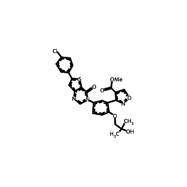 COC(=O)c1conc1-c1cc(-n2cnc3cc(-c4ccc(Cl)cc4)sc3c2=O)ccc1OCC(C)(C)O